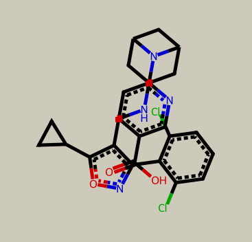 O=C(O)c1ccc(N2C3CC(NCc4c(-c5c(Cl)cccc5Cl)noc4C4CC4)CC2C3)nc1